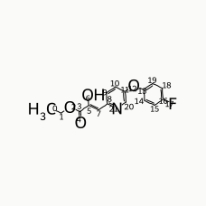 CCOC(=O)C(O)=Cc1ccc(Oc2ccc(F)cc2)cn1